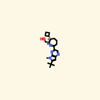 Cn1c(C(C)(C)C)cc2ncc(C3=N[C@@H](CO)[C@H](C4CCC4)CCC3)nc21